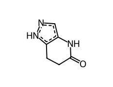 O=C1CCc2[nH]ncc2N1